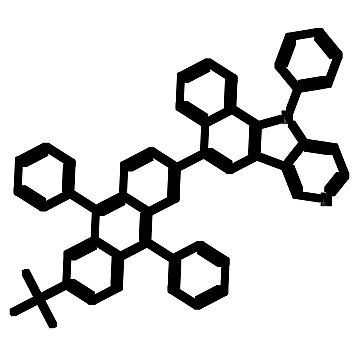 CC(C)(C)c1ccc2c(-c3ccccc3)c3cc(-c4cc5c6cnccc6n(-c6ccccc6)c5c5ccccc45)ccc3c(-c3ccccc3)c2c1